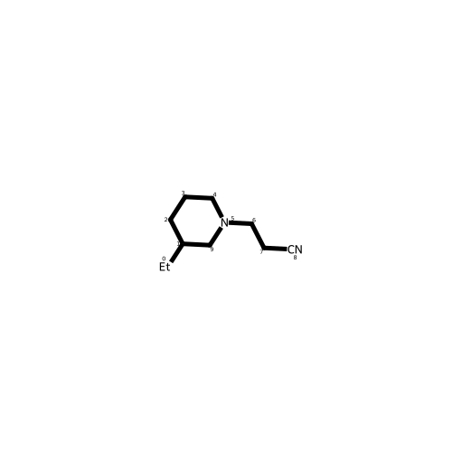 CCC1CCCN(CCC#N)C1